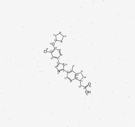 Cc1c(-c2ncc(-c3ccc(OC4CCCC4)c(Cl)c3)s2)ccc2c1CCC2CC(=O)O